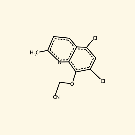 Cc1ccc2c(Cl)cc(Cl)c(OCC#N)c2n1